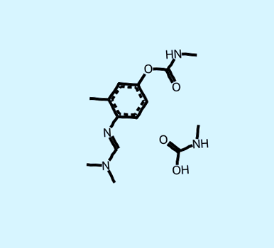 CNC(=O)O.CNC(=O)Oc1ccc(N=CN(C)C)c(C)c1